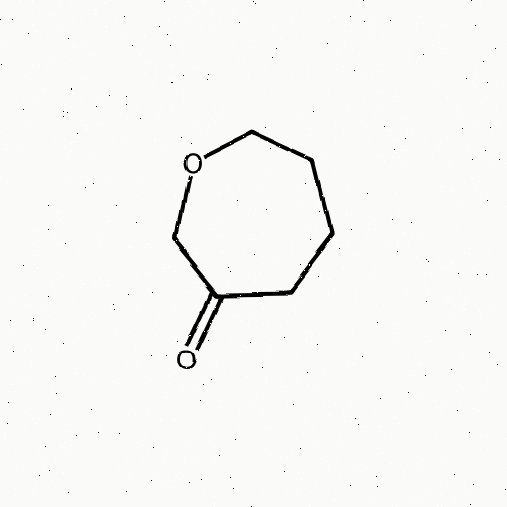 O=C1CCCCOC1